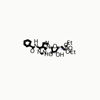 CCOP(=O)(/C=C/[C@H]1O[C@@H](n2ncc3c(NC(=O)c4ccccc4)ncnc32)[C@H](O)[C@@H]1O)OCC